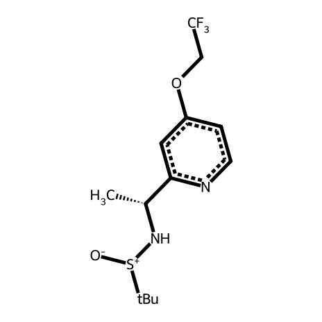 C[C@@H](N[S+]([O-])C(C)(C)C)c1cc(OCC(F)(F)F)ccn1